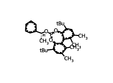 Cc1cc(C(C)(C)C)c2op(O[C@H](C)c3ccccc3)oc3c(C(C)(C)C)cc(C)c(C)c3c2c1C